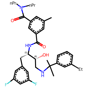 CCCN(CCC)C(=O)c1cc(C)cc(C(=O)N[C@@H](Cc2cc(F)cc(F)c2)[C@H](O)CNC(C)(C)c2cccc(CC)c2)c1